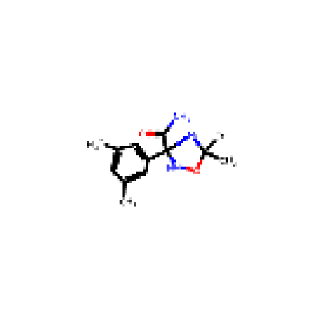 CCC1(C)[N]C(C(N)=O)(c2cc(C)cc(C)c2)NO1